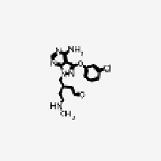 CNCCC(CC=O)Cn1nc(Oc2cccc(Cl)c2)c2c(N)ncnc21